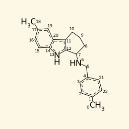 Cc1ccc(CNC2CCCc3c2[nH]c2ccc(C)cc32)cc1